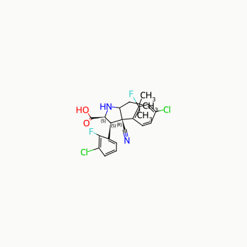 CC(C)(C)CC1N[C@H](C(=O)O)[C@H](c2cccc(Cl)c2F)[C@@]1(C#N)c1ccc(Cl)cc1F